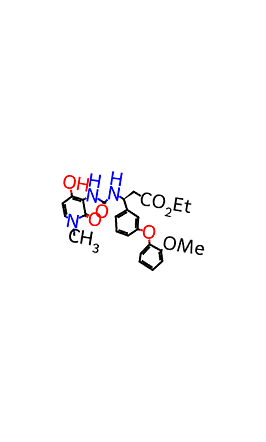 CCOC(=O)C[C@H](NC(=O)Nc1c(O)ccn(C)c1=O)c1cccc(Oc2ccccc2OC)c1